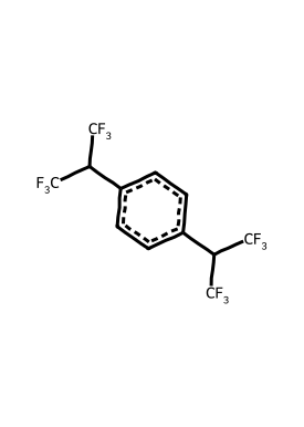 FC(F)(F)C(c1ccc(C(C(F)(F)F)C(F)(F)F)cc1)C(F)(F)F